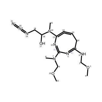 COCN/C1=N/C(N(C)COC)=N\C(N(C)C(O)CN=[N+]=[N-])=C=CC1